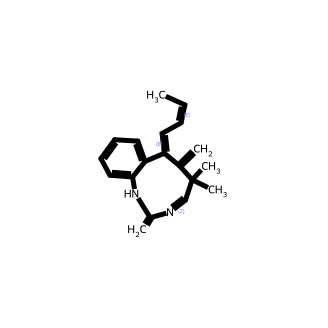 C=C1/N=C\C(C)(C)C(=C)/C(=C\C=C/C)c2ccccc2N1